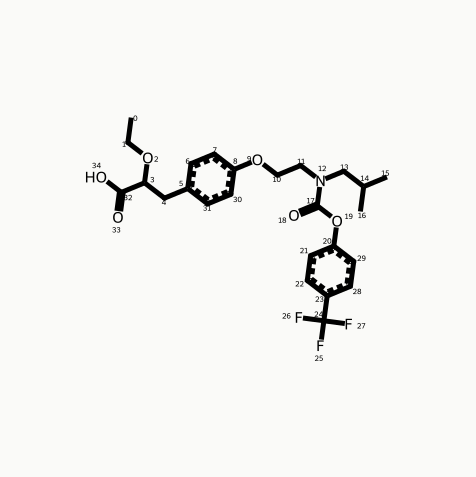 CCOC(Cc1ccc(OCCN(CC(C)C)C(=O)Oc2ccc(C(F)(F)F)cc2)cc1)C(=O)O